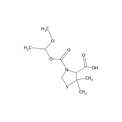 COC(C)OC(=O)N1CSC(C)(C)C1C(=O)O